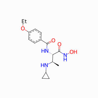 CCOc1ccc(C(=O)N[C@H](C(=O)NO)[C@@H](C)NC2CC2)cc1